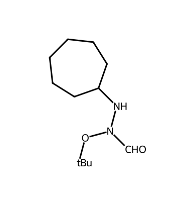 CC(C)(C)ON(C=O)NC1CCCCCC1